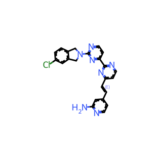 Nc1cc(/C=C/c2ccnc(-c3ccnc(N4Cc5ccc(Cl)cc5C4)n3)n2)ccn1